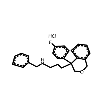 Cl.Fc1ccc(C2(CCCNCc3ccccc3)COCc3ccccc32)cc1